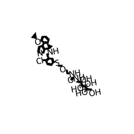 O=C(NCCOCCSc1ccc(Cl)c(CNC2(c3cnccc3-c3ccccc3OC3CC3)CC2)c1)NC[C@H](O)[C@@H](O)[C@H](O)[C@H](O)CO